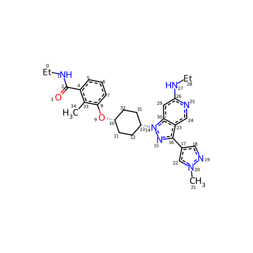 CCNC(=O)c1cccc(O[C@H]2CC[C@@H](n3nc(-c4cnn(C)c4)c4cnc(NCC)cc43)CC2)c1C